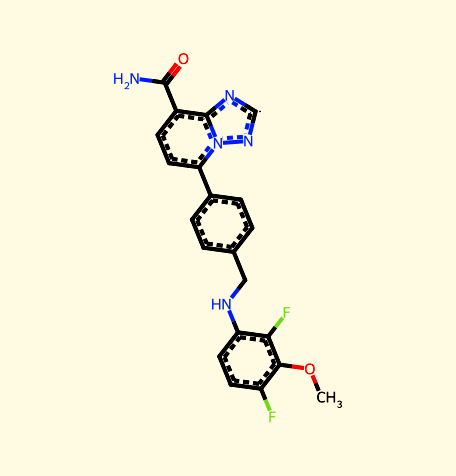 COc1c(F)ccc(NCc2ccc(-c3ccc(C(N)=O)c4n[c]nn34)cc2)c1F